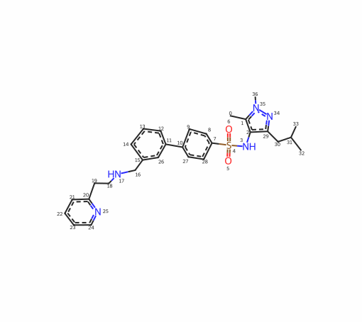 Cc1c(NS(=O)(=O)c2ccc(-c3cccc(CNCCc4ccccn4)c3)cc2)c(CC(C)C)nn1C